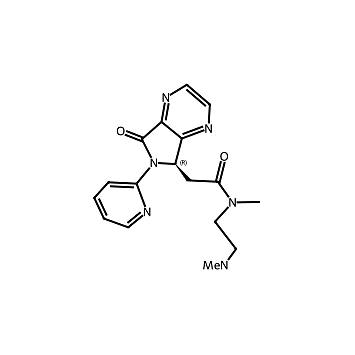 CNCCN(C)C(=O)C[C@@H]1c2nccnc2C(=O)N1c1ccccn1